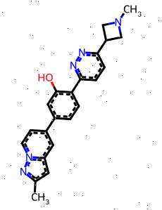 Cc1cc2cc(-c3ccc(-c4ccc(C5CN(C)C5)nn4)c(O)c3)ccn2n1